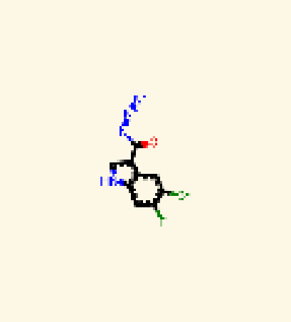 [N-]=[N+]=NC(=O)c1c[nH]c2cc(F)c(Br)cc12